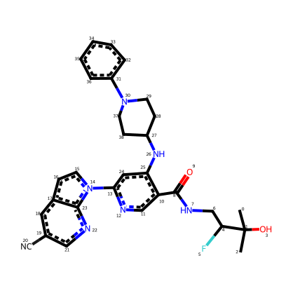 CC(C)(O)C(F)CNC(=O)c1cnc(-n2ccc3cc(C#N)cnc32)cc1NC1CCN(c2ccccc2)CC1